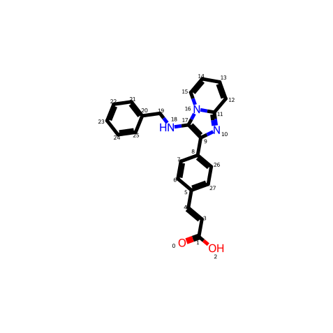 O=C(O)/C=C/c1ccc(-c2nc3ccccn3c2NCc2ccccc2)cc1